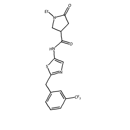 CCN1CC(C(=O)Nc2cnc(Cc3cccc(C(F)(F)F)c3)s2)CC1=O